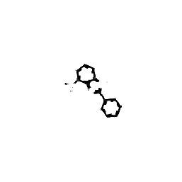 CCN(CC)c1cccc2sc(-c3ccccc3)nc12